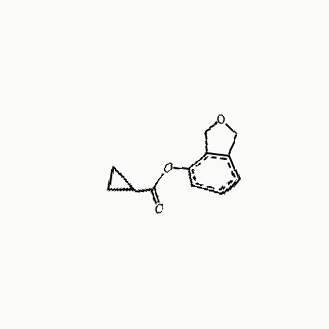 O=C(Oc1cccc2c1COC2)C1CC1